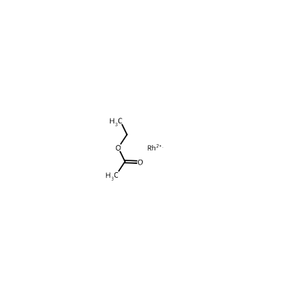 CCOC(C)=O.[Rh+2]